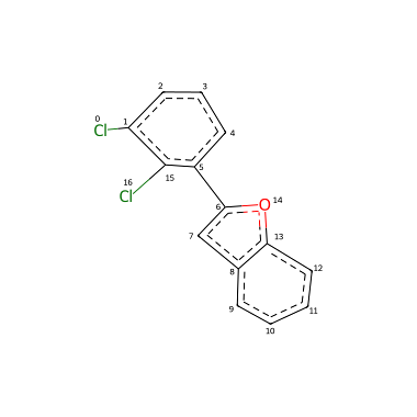 Clc1cccc(-c2cc3ccccc3o2)c1Cl